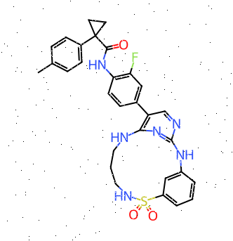 Cc1ccc(C2(C(=O)Nc3ccc(-c4cnc5nc4NCCCNS(=O)(=O)c4cccc(c4)N5)cc3F)CC2)cc1